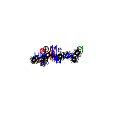 COC(=O)c1cc(S(=O)(=O)Nc2ncnc3cc(N4CCN(Cc5ccccc5-c5ccc(Cl)cc5)CC4)ccc23)cc([N+](=O)[O-])c1NC(CCN(C)C)CSc1ccccc1